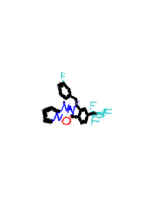 CN(c1ccccn1)N1C(=O)c2ccc(C(F)(F)F)cc2/C1=C/c1cccc(F)c1